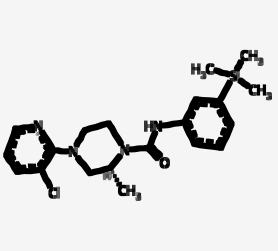 C[C@@H]1CN(c2ncccc2Cl)CCN1C(=O)Nc1cccc([Si](C)(C)C)c1